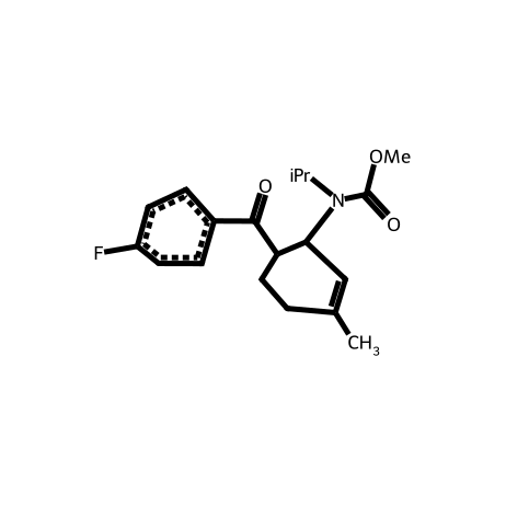 COC(=O)N(C(C)C)C1C=C(C)CCC1C(=O)c1ccc(F)cc1